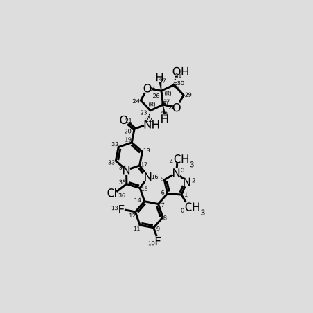 Cc1nn(C)cc1-c1cc(F)cc(F)c1-c1nc2cc(C(=O)N[C@@H]3CO[C@H]4[C@@H]3OC[C@H]4O)ccn2c1Cl